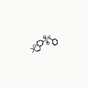 CN(c1ccccc1)S(=O)(=O)c1ccc2c(c1)C=CC(C)(C)O2